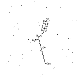 CCCCCCCCCCCCCCCCOC(=O)CCCCC(N)C(=O)OCCC(F)(F)C(F)(F)C(F)(F)C(F)(F)C(F)(F)C(F)(F)F